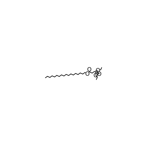 CCCCCCCCCCCCCCCCCCOC(=O)CCP(=O)(OCC)OCC